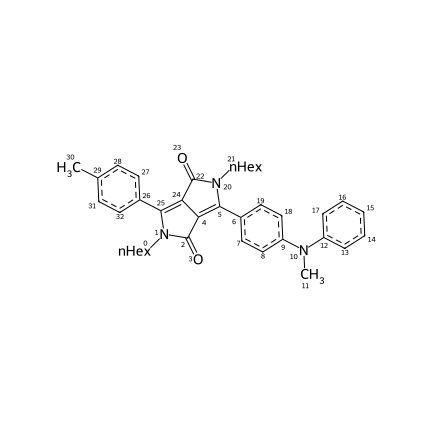 CCCCCCN1C(=O)C2=C(c3ccc(N(C)c4ccccc4)cc3)N(CCCCCC)C(=O)C2=C1c1ccc(C)cc1